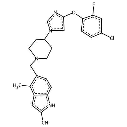 Cc1c(CN2CCC(n3cnc(Oc4ccc(Cl)cc4F)c3)CC2)ccc2[nH]c(C#N)cc12